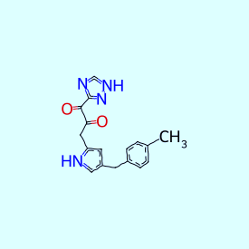 Cc1ccc(Cc2c[nH]c(CC(=O)C(=O)c3nc[nH]n3)c2)cc1